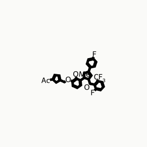 COc1c(OCC2=CC=C(C(C)=O)C2)cccc1C1CC(c2ccc(F)cc2)=CC1C(=O)c1c(F)cccc1C(F)(F)F